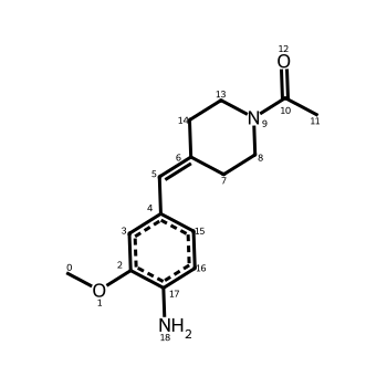 COc1cc(C=C2CCN(C(C)=O)CC2)ccc1N